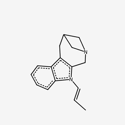 C/C=C/n1c2c(c3ccccc31)CC1CN(C2)C1